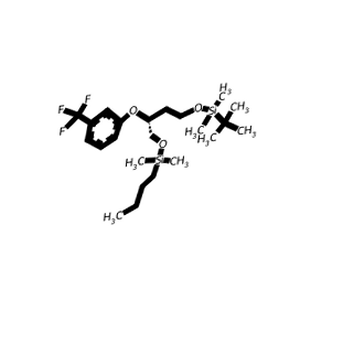 CCCC[Si](C)(C)OC[C@@H](CCO[Si](C)(C)C(C)(C)C)Oc1cccc(C(F)(F)F)c1